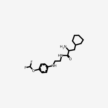 NC(CC1CCCCC1)C(=O)NCCNc1ccc(OC(F)F)cc1